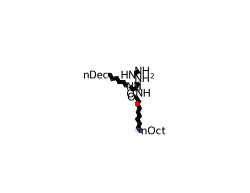 CCCCCCCC/C=C\CCCCCCCC(=O)N[C@@H](CCNC(=N)N)C(=O)NCCCCCCCCCCCCCCCC